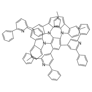 Cc1ccc2c(c1)c1cc(C)ccc1n2-c1c(-c2cc(-c3ccccc3)nc(-c3ccccc3)c2)cc(-c2cc(-c3ccccc3)nc(-c3ccccc3)c2)c(-n2c3ccc(C)cc3c3cc(C)ccc32)c1-n1c2ccccc2c2cc(-c3cccc(-c4ccccc4)n3)ccc21